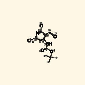 CC(C)(C)OC(=O)Nc1cc(Cl)nc(Cl)c1C=O